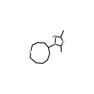 CC1NN(C2CCCCCCCCC2)C(C)O1